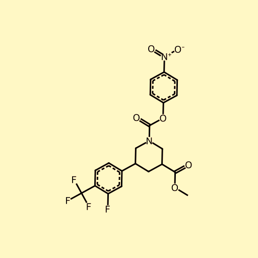 COC(=O)C1CC(c2ccc(C(F)(F)F)c(F)c2)CN(C(=O)Oc2ccc([N+](=O)[O-])cc2)C1